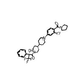 O=C(c1ccc(N2CCC(C3CCN(C(=O)[C@](O)(c4ccccc4)C(F)(F)F)CC3)CC2)cc1Cl)N1CCCC1